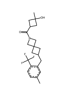 Cc1ccc(C(F)(F)F)c(CC2CC3(C2)CN(C(=O)C2CC(C)(O)C2)C3)c1